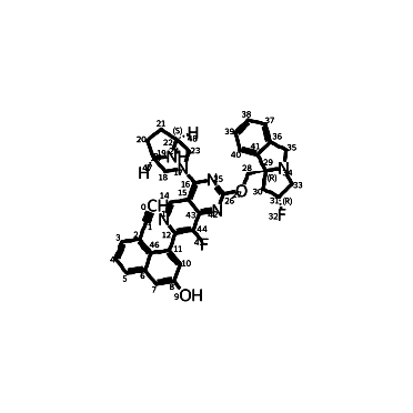 C#Cc1cccc2cc(O)cc(-c3ncc4c(N5C[C@H]6CC[C@@H](C5)N6)nc(OC[C@]56C[C@@H](F)CN5Cc5ccccc56)nc4c3F)c12